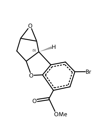 COC(=O)c1cc(Br)cc2c1OC1CC3OC3[C@@H]21